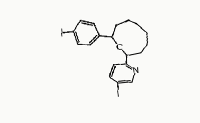 Ic1ccc(C2CCCCCCC(c3ccc(I)cn3)C2)cc1